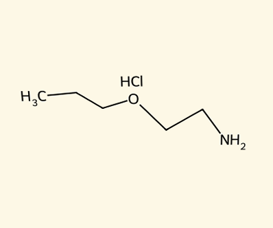 CCCOCCN.Cl